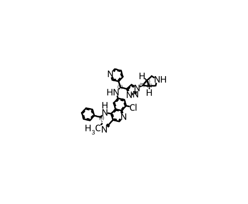 CC[C@@H](Nc1c(C#N)cnc2c(Cl)cc(N[C@@H](c3cccnc3)c3cn([C@H]4[C@@H]5CNC[C@@H]54)nn3)cc12)c1ccccc1